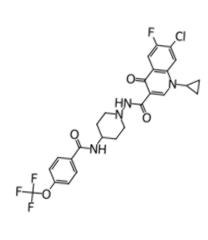 O=C(NC1CCN(NC(=O)c2cn(C3CC3)c3cc(Cl)c(F)cc3c2=O)CC1)c1ccc(OC(F)(F)F)cc1